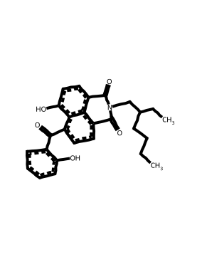 CCCCC(CC)CN1C(=O)c2ccc(O)c3c(C(=O)c4ccccc4O)ccc(c23)C1=O